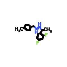 Cc1ccc(CNNC(C)c2ccc(F)cc2F)cc1